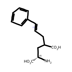 N[C@@H](CC(C/C=C/c1ccccc1)C(=O)O)C(=O)O